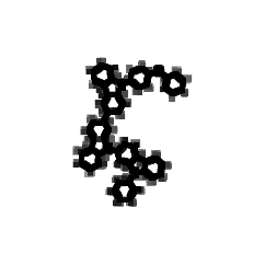 c1ccc(Oc2ccc(-n3c4ccccc4c4cc(-c5ccc6c7ccccc7n(-c7ccc8c9ccccc9n(-c9ccccc9)c8c7)c6c5)ccc43)cc2)cc1